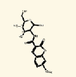 COc1ccc2cc(C(=O)NC3C(O)OC(CO)[C@@H](O)[C@@H]3O)c(=O)oc2c1